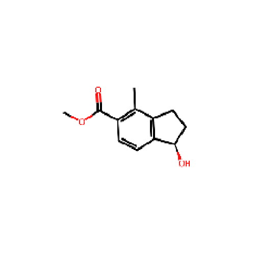 COC(=O)c1ccc2c(c1C)CC[C@H]2O